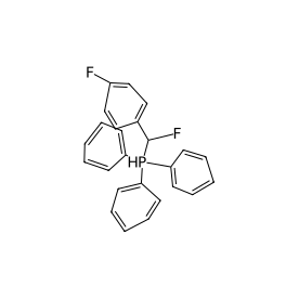 Fc1ccc(C(F)[PH](c2ccccc2)(c2ccccc2)c2ccccc2)cc1